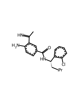 CC(=N)c1cc(C(=O)N[C@@H](CC(C)C)c2ccccc2Cl)ccc1N